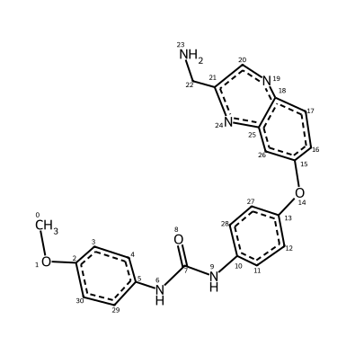 COc1ccc(NC(=O)Nc2ccc(Oc3ccc4ncc(CN)nc4c3)cc2)cc1